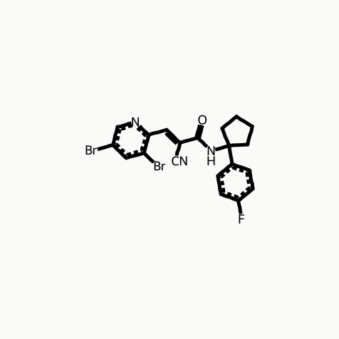 N#C/C(=C\c1ncc(Br)cc1Br)C(=O)NC1(c2ccc(F)cc2)CCCC1